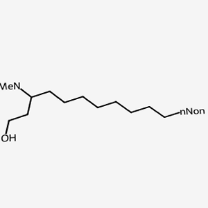 CCCCCCCCCCCCCCCCCC(CCO)NC